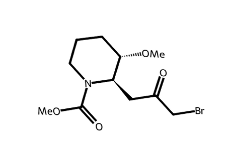 COC(=O)N1CCC[C@H](OC)[C@H]1CC(=O)CBr